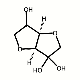 O[C]1CO[C@H]2[C@@H]1OCC2(O)O